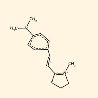 CN(C)c1ccc(/C=C/C2=[N+](C)CCS2)cc1